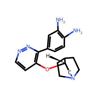 Nc1ccc(-c2nnccc2O[C@H]2CN3CCC2CC3)cc1N